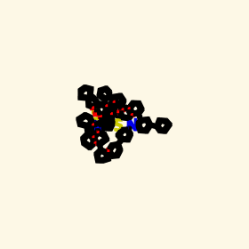 c1ccc(-c2ccc(N(c3ccc(-c4ccccc4)cc3-c3cccc(-c4ccc5c(c4)-c4ccccc4C54c5cc6ccccc6cc5Sc5c(N(c6ccc(-c7ccccc7)cc6)c6ccccc6-c6ccccc6)cccc54)c3)c3cccc4c3Sc3cc5ccccc5cc3C43c4ccccc4-c4ccccc43)cc2)cc1